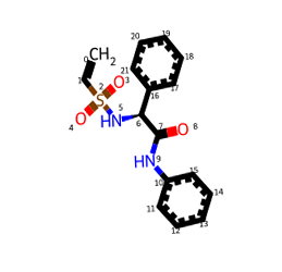 C=CS(=O)(=O)N[C@H](C(=O)Nc1ccccc1)c1ccccc1